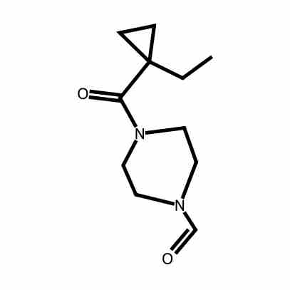 CCC1(C(=O)N2CCN(C=O)CC2)CC1